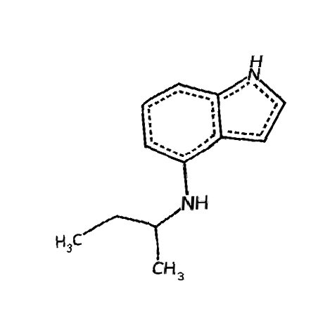 CCC(C)Nc1cccc2[nH]ccc12